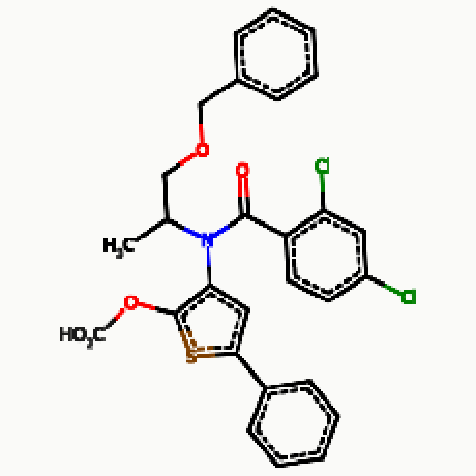 CC(COCc1ccccc1)N(C(=O)c1ccc(Cl)cc1Cl)c1cc(-c2ccccc2)sc1OC(=O)O